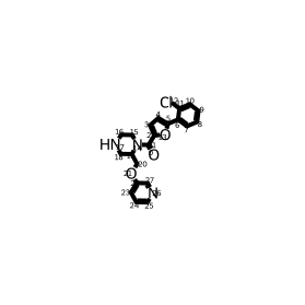 O=C(c1ccc(-c2ccccc2Cl)o1)N1CCNCC1COc1cccnc1